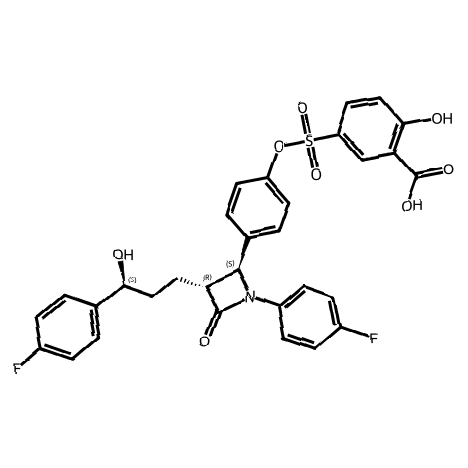 O=C(O)c1cc(S(=O)(=O)Oc2ccc([C@@H]3[C@@H](CC[C@H](O)c4ccc(F)cc4)C(=O)N3c3ccc(F)cc3)cc2)ccc1O